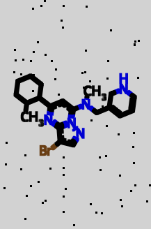 CC1CCCCC1c1cc(N(C)CC2=CC=CNC2)n2ncc(Br)c2n1